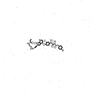 C=CC(=O)N(C)CCN(C)CC#Cc1cc2c(Oc3ccc(NC(=O)NC(=O)Cc4ccc(F)cc4)cc3F)ccnc2[nH]1